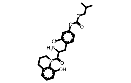 CC(C)COC(=O)Oc1ccc(CC(N)C(=O)N2CCCc3cccc(O)c32)c(Cl)c1